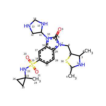 CC1NC(C)C(Cn2c(=O)n(C3CNCN3)c3cc(S(=O)(=O)NC4(C)CC4)ccc32)S1